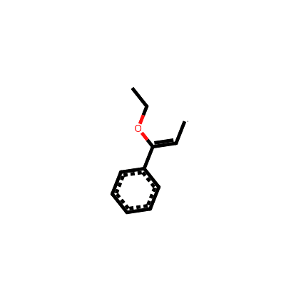 [CH2]C=C(OCC)c1ccccc1